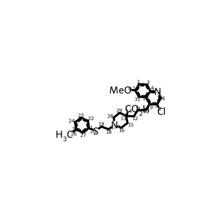 COc1ccc2ncc(Cl)c(CCCC3(C(=O)O)CCN(CCSc4cccc(C)c4)CC3)c2c1